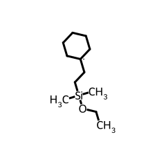 CCO[Si](C)(C)CC[C]1CCCCC1